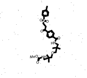 COC(=O)NCC(C)(C)COCC(C)(C)CNC(=O)c1ccc(C(=O)CCS(=O)(=O)c2ccc(C)cc2)cc1